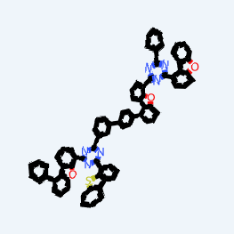 c1ccc(-c2nc(-c3cccc4c3oc3cccc(-c5ccc(-c6cccc(-c7nc(-c8cccc9c8oc8cccc(-c%10ccccc%10)c89)nc(-c8cccc9c8sc8ccccc89)n7)c6)cc5)c34)nc(-c3cccc4oc5ccccc5c34)n2)cc1